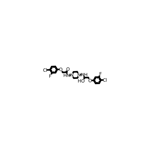 O=C(COc1ccc(Cl)c(F)c1)NN1CCN(NC(O)COc2ccc(Cl)c(F)c2)CC1